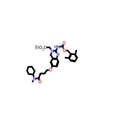 CCOC(=O)CN1Cc2cc(OCCCC(=O)N(C)C3CCCCC3)ccc2N=C1NC(=O)OCc1c(C)cccc1C